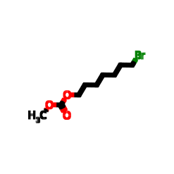 COC(=O)OCCCCCCCBr